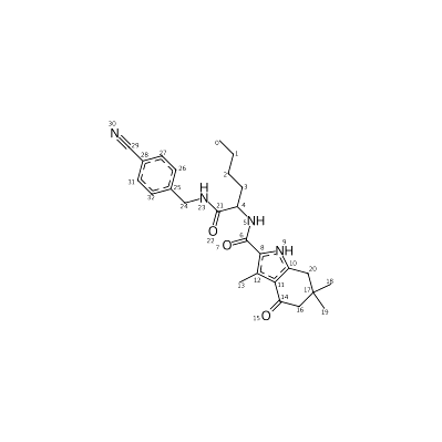 CCCCC(NC(=O)c1[nH]c2c(c1C)C(=O)CC(C)(C)C2)C(=O)NCc1ccc(C#N)cc1